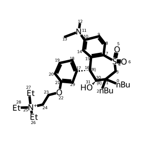 CCCCC1(CCCC)CS(=O)(=O)c2ccc(N(C)C)cc2[C@@H](c2cccc(OCC[N+](CC)(CC)CC)c2)[C@H]1O